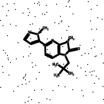 Cn1nccc1-c1ccc2c(n1)n(C)c(=O)n2CC(C)(C)C